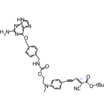 CN(CCOC(=O)NCc1ccc(COc2nc(N)nc3[nH]cnc23)cc1)c1ccc(C#C/C=C(\C#N)C(=O)OC(C)(C)C)cc1